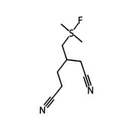 CS(C)(F)CC(CC#N)CCC#N